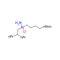 CCCCCCCCCCCCC[N+](N)([O-])CC(CCC)CCC